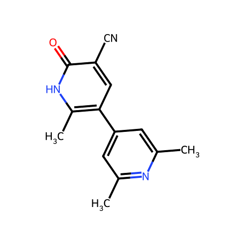 Cc1cc(-c2cc(C#N)c(=O)[nH]c2C)cc(C)n1